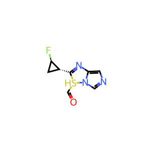 O=C[SH]1C([C@@H]2C[C@H]2F)=Nc2cncn21